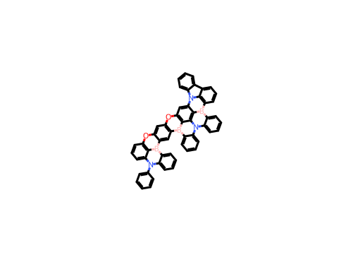 c1ccc(N2c3ccccc3B3c4cc5c(cc4Oc4cccc2c43)Oc2cc3c4c6c2B5c2ccccc2N6c2ccccc2B4c2cccc4c5ccccc5n-3c24)cc1